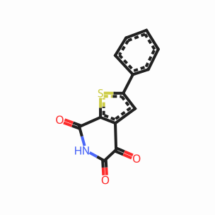 O=C1NC(=O)c2sc(-c3ccccc3)cc2C1=O